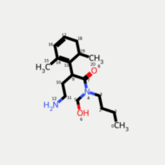 CCCCN(CO)C(=O)C(CCN)C1=C(C)C=CCC1C